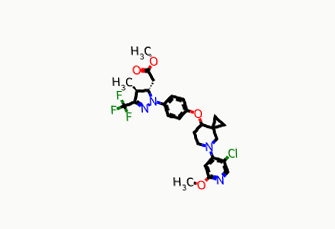 COC(=O)C[C@H]1[C@H](C)C(C(F)(F)F)=NN1c1ccc(OC2CCN(c3cc(OC)ncc3Cl)CC23CC3)cc1